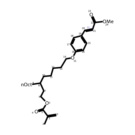 C=C(C)C(=O)OCCC(CCCCCCCC)CCCCCOc1ccc(/C=C/C(=O)OC)cc1